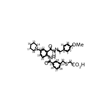 COc1ccc(C=NNC(=O)c2cc(N3CCCCC3)ccc2NC(=O)c2cccc(CSCC(=O)O)c2)cc1